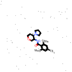 COc1cc(C(F)(F)F)cc(SC)c1C(=O)NC1COCC[C@H]1N1CCCC1